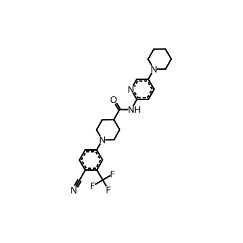 N#Cc1ccc(N2CCC(C(=O)Nc3ccc(N4CCCCC4)cn3)CC2)cc1C(F)(F)F